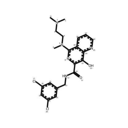 CN(C)CCN(C)c1nc(C(=O)NCc2cc(Cl)cc(Cl)c2)c(O)c2ncccc12